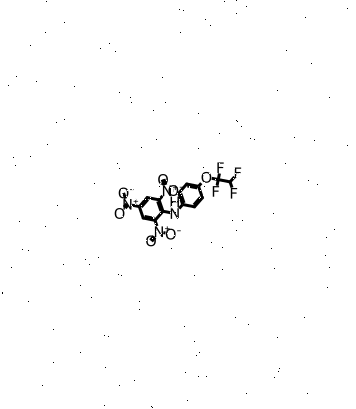 O=[N+]([O-])c1cc([N+](=O)[O-])c(Nc2ccc(OC(F)(F)C(F)F)cc2)c([N+](=O)[O-])c1